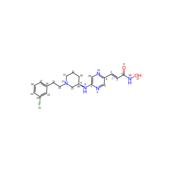 O=C(/C=C/c1cnc(N[C@@H]2CCCN(CCc3cccc(F)c3)C2)cn1)NO